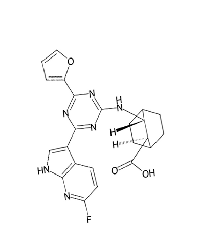 O=C(O)[C@@H]1C2CCC(CC2)[C@H]1Nc1nc(-c2ccco2)nc(-c2c[nH]c3nc(F)ccc23)n1